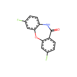 O=C1Nc2ccc(F)cc2Oc2cc(F)ccc21